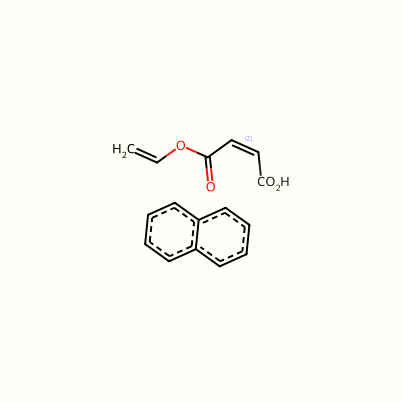 C=COC(=O)/C=C\C(=O)O.c1ccc2ccccc2c1